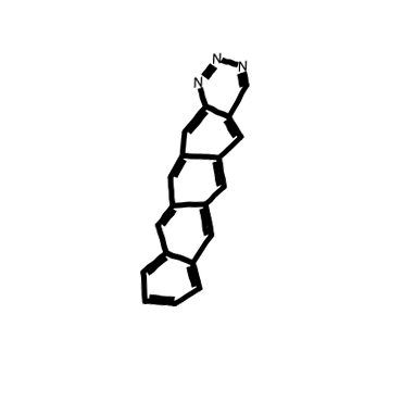 c1ccc2cc3cc4cc5nnncc5cc4cc3cc2c1